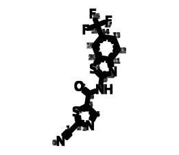 N#Cc1ncc(C(=O)Nc2nc3ccc(C(F)(F)F)cc3s2)s1